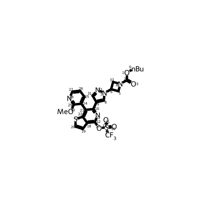 CCCCOC(=O)N1CC(n2cc(-c3nc(OS(=O)(=O)C(F)(F)F)c4ccsc4c3-c3cccnc3OC)cn2)C1